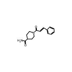 NC(=O)C1CCN(C(=O)C=Cc2ccccc2)CC1